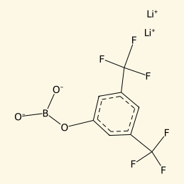 [Li+].[Li+].[O-]B([O-])Oc1cc(C(F)(F)F)cc(C(F)(F)F)c1